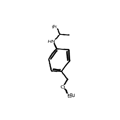 CC(C)C(C)Nc1ccc(COC(C)(C)C)cc1